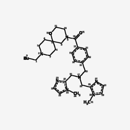 CCC(C)CN1CCC2(CC1)CN(C(=O)c1ccc(CN(Cc3nccn3C)Cc3nccn3C)cc1)CCO2